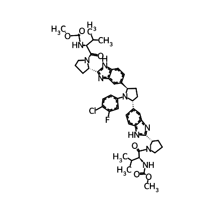 COC(=O)N[C@H](C(=O)N1CCC[C@H]1c1nc2cc([C@H]3CC[C@H](c4ccc5[nH]c([C@@H]6CCCN6C(=O)[C@@H](NC(=O)OC)C(C)C)nc5c4)N3c3ccc(Cl)c(F)c3)ccc2[nH]1)C(C)C